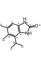 Cc1cc2[nH]c(=O)[nH]c2c(C(C)C)c1C